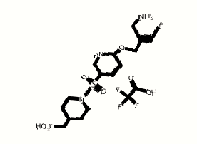 NC/C(=C\F)COC1CCC(S(=O)(=O)N2CCC(CC(=O)O)CC2)CN1.O=C(O)C(F)(F)F